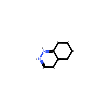 C1=NN=C2CCCCC2C1